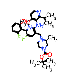 Cc1ccnc(C(C)C)c1Nc1nc(-c2c(O)cccc2F)c(F)cc1CN1CCN(C(=O)OC(C)(C)C)C[C@@H]1C